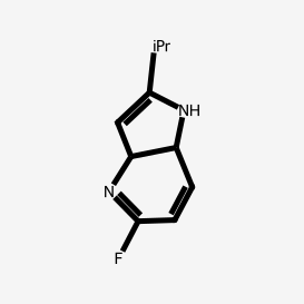 CC(C)C1=CC2N=C(F)C=CC2N1